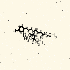 C=C(CC(C)(C)C)N(CCCc1ccc(I)cc1)C/C(C)=C/C(=O)OCC